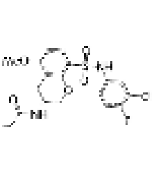 COc1ccc(S(=O)(=O)Nc2ccc(F)c(Cl)c2)c2c1C[C@@H](NC(=O)CF)CO2